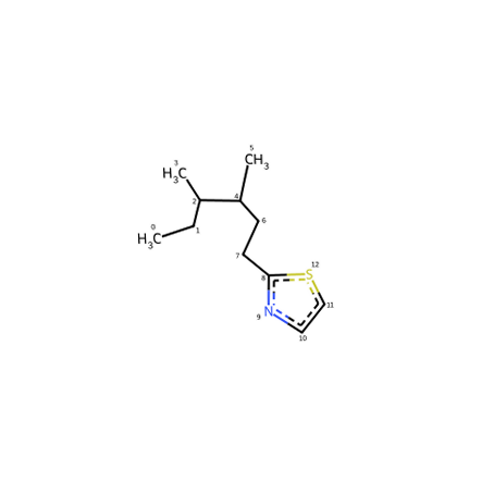 CCC(C)C(C)CCc1nccs1